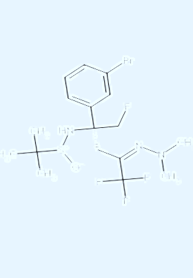 CN(C)/N=C(/C[C@](CF)(N[S+]([O-])C(C)(C)C)c1cccc(Br)c1)C(F)(F)F